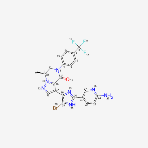 C[C@H]1CN(c2ccc(C(F)(F)F)cc2)C(=O)c2c(-c3nc(-c4ccc(N)nc4)[nH]c3Br)cnn21